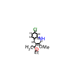 C=C(OCC)C1=C(OC)CNc2cc(Cl)ccc2C1